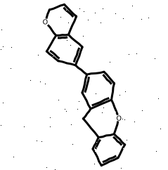 C1=Cc2cc(-c3ccc4c(c3)Cc3ccccc3O4)ccc2OC1